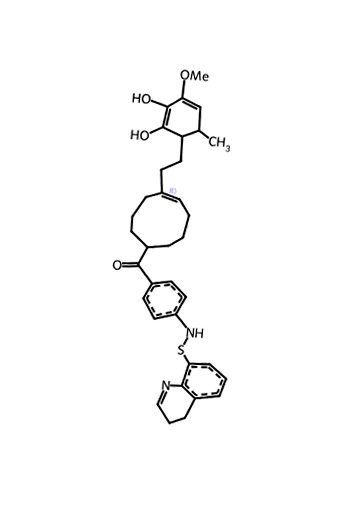 COC1=CC(C)C(CC/C2=C/CCCC(C(=O)c3ccc(NSc4cccc5c4N=CCC5)cc3)CCC2)C(O)=C1O